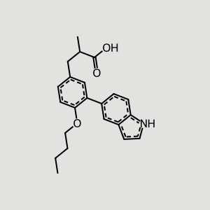 CCCCOc1ccc(CC(C)C(=O)O)cc1-c1ccc2[nH]ccc2c1